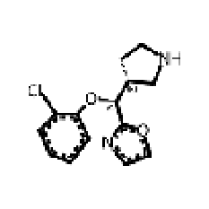 Clc1ccccc1O[C@H](c1ncco1)[C@@H]1CCNC1